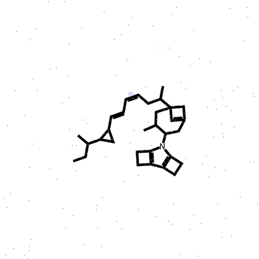 CCC(C)C1CC1C=C/C=C\CC(C)C12C=C(CC(n3c4c(c5c3CC5)CC4)C(C)C1)C2